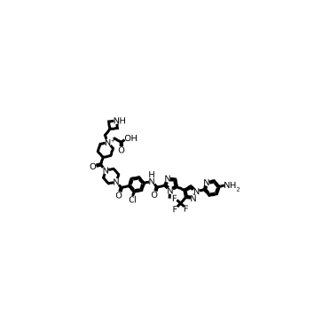 Cn1c(-c2cn(-c3ccc(N)cn3)nc2C(F)(F)F)cnc1C(=O)Nc1ccc(C(=O)N2CCN(C(=O)C3CC[N+](CC(=O)O)(CC4CNC4)CC3)CC2)c(Cl)c1